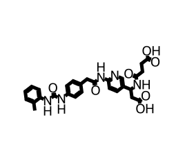 Cc1ccccc1NC(=O)Nc1ccc(CC(=O)Nc2ccc(C(CC(=O)O)NC(=O)CCC(=O)O)cn2)cc1